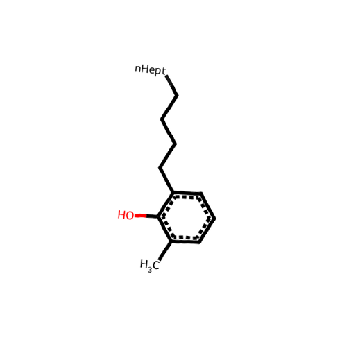 CCCCCCCCCCCc1cccc(C)c1O